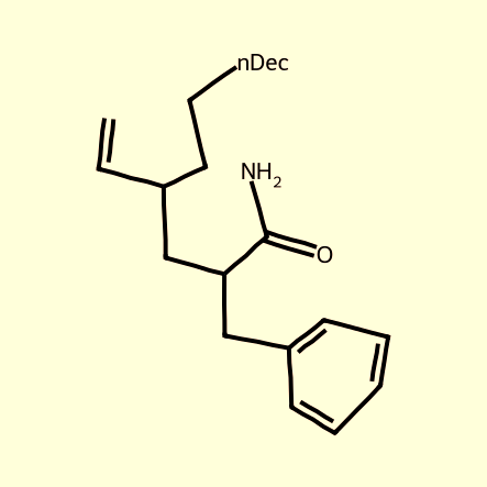 C=CC(CCCCCCCCCCCC)CC(Cc1ccccc1)C(N)=O